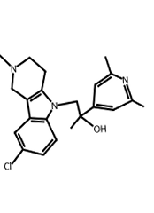 Cc1cc(C(C)(O)Cn2c3c(c4cc(Cl)ccc42)CN(C)CC3)cc(C)n1